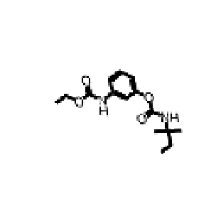 CCOC(=O)Nc1cccc(OC(=O)NC(C)(C)CC)c1